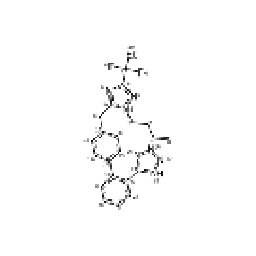 C=CCCn1nc(C(F)(F)CC)nc1Cc1ccc(-c2ccccc2-c2nnn[nH]2)cc1